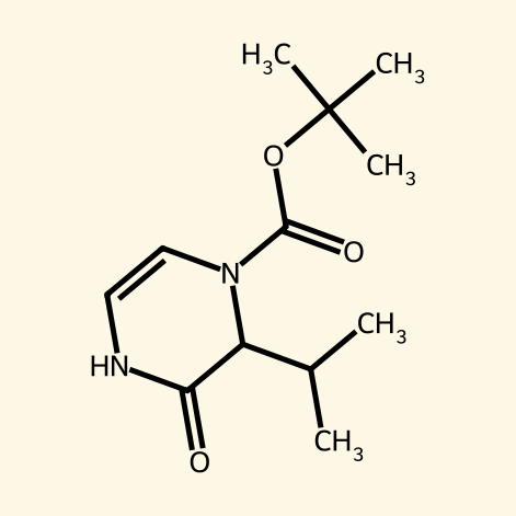 CC(C)C1C(=O)NC=CN1C(=O)OC(C)(C)C